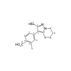 CCCCc1nn2c(c1-c1ccc(C(=O)O)c(C)c1)CCCC2